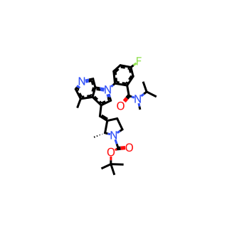 Cc1cncc2c1c(/C=C1\CCN(C(=O)OC(C)(C)C)[C@@H]1C)cn2-c1ccc(F)cc1C(=O)N(C)C(C)C